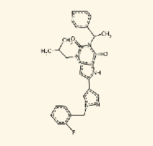 CC(C)Cn1c(=O)n(C(C)c2ccccc2)c(=O)c2[nH]c(-c3cnn(Cc4ccccc4F)c3)cc21